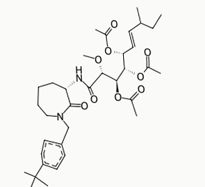 CCC(C)/C=C/[C@@H](OC(C)=O)[C@H](OC(C)=O)[C@@H](OC(C)=O)[C@@H](OC)C(=O)N[C@H]1CCCCN(Cc2ccc(C(C)(C)C)cc2)C1=O